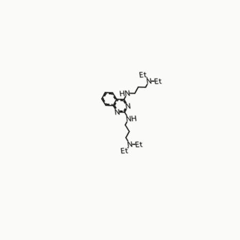 CCN(CC)CCCNc1nc(NCCCN(CC)CC)c2ccccc2n1